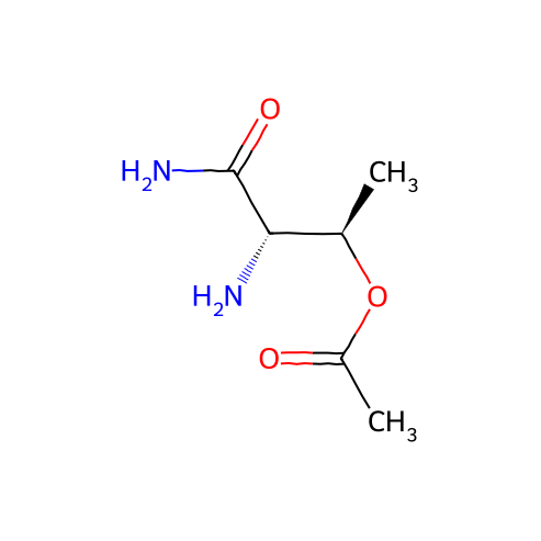 CC(=O)O[C@H](C)[C@H](N)C(N)=O